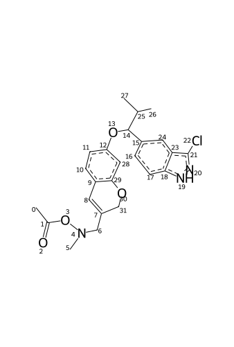 CC(=O)ON(C)CC1=Cc2ccc(OC(c3ccc4[nH]nc(Cl)c4c3)C(C)C)cc2OC1